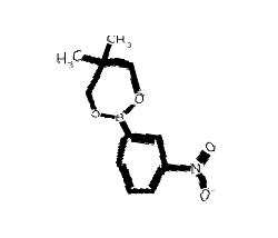 CC1(C)COB(c2cccc([N+](=O)[O-])c2)OC1